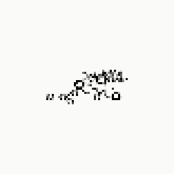 COC(=O)COc1ccc(OC)c2c1CCN(CC(=O)NCc1ccccn1)C2Cc1ccc(OC)c(OC)c1